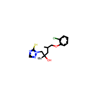 CC(COc1ccccc1Cl)CC(O)(Cn1ncnc1S)C(C)(C)C